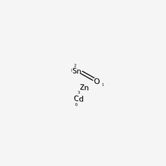 [Cd].[O]=[Sn].[Zn]